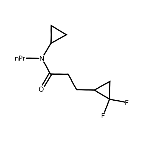 CCCN(C(=O)CCC1CC1(F)F)C1CC1